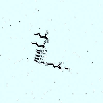 CCCC(=O)O.CCCC(=O)O.CCCC(=O)O.CCCCCC.CCCCCC.CCCCCC.CCCCCC.CCCCCC.CCCCCC.CO